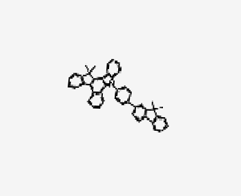 CC1(C)c2ccccc2-c2ccc(-c3ccc(-n4c5ccccc5c5c6c(c7ccccc7c54)-c4ccccc4C6(C)C)cc3)cc21